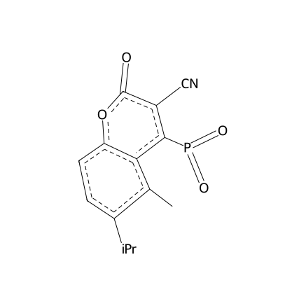 Cc1c(C(C)C)ccc2oc(=O)c(C#N)c(P(=O)=O)c12